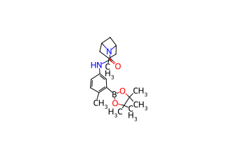 Cc1ccc(NC(=O)N2C3CC(C)CC2C3)cc1B1OC(C)(C)C(C)(C)O1